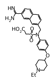 CCN1CCC(Oc2ccc(N(Cc3ccc4ccc(C(=N)N)cc4c3)S(=O)(=O)CC(=O)O)cc2)CC1